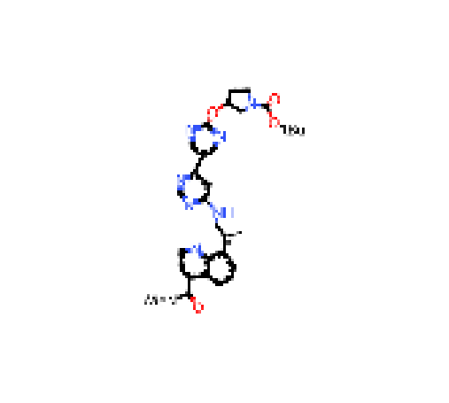 CNC(=O)c1ccnc2c([C@H](C)CNc3cc(-c4cnc(OC5CCN(C(=O)OC(C)(C)C)C5)nc4)ncn3)cccc12